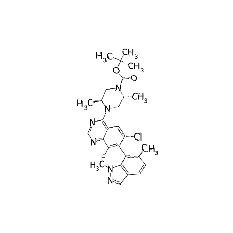 Cc1ccc2cnn(C)c2c1-c1c(Cl)cc2c(N3C[C@@H](C)N(C(=O)OC(C)(C)C)C[C@@H]3C)ncnc2c1F